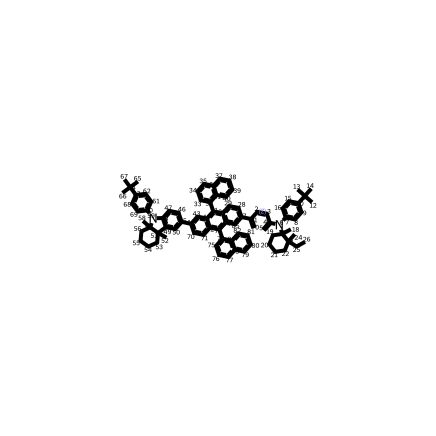 C=C(/C=C\C(=C)N(c1ccc(C(C)(C)C)cc1)C1(C)CCCCC1(C)CC)c1ccc2c(-c3cccc4ccccc34)c3cc(-c4ccc5c(c4)C4(C)CCCCC4(C)N5c4ccc(C(C)(C)C)cc4)ccc3c(-c3cccc4ccccc34)c2c1